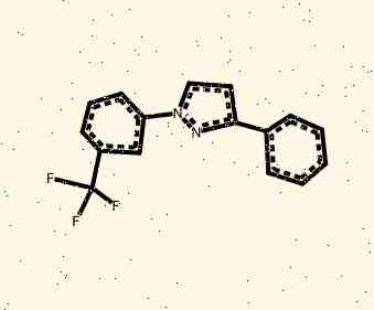 FC(F)(F)c1cccc(-n2ccc(-c3ccccc3)n2)c1